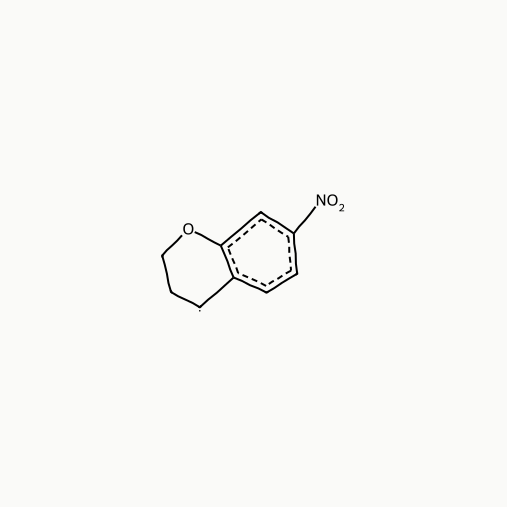 O=[N+]([O-])c1ccc2c(c1)OCC[CH]2